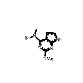 CNc1nc(N(C)C(C)C)c2cc[nH]c2n1